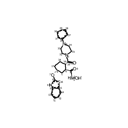 O=C(NO)[C@H]1C[C@H](Oc2nc3ccccc3s2)CC[C@@H]1C(=O)N1CCN(c2ccccc2)CC1